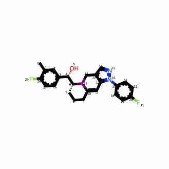 Cc1cc([C@H](O)[C@H]2CCCC3=Cc4c(cnn4-c4ccc(F)cc4)CI32)ccc1F